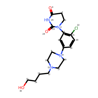 O=C1CCN(c2cc(N3CCN(CCCCO)CC3)ccc2Cl)C(=O)N1